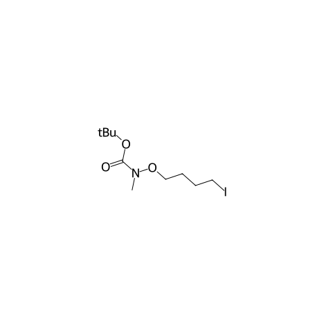 CN(OCCCCI)C(=O)OC(C)(C)C